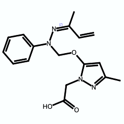 C=C/C(C)=N\N(COc1cc(C)nn1CC(=O)O)c1ccccc1